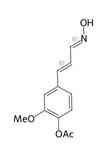 COc1cc(/C=C/C=N/O)ccc1OC(C)=O